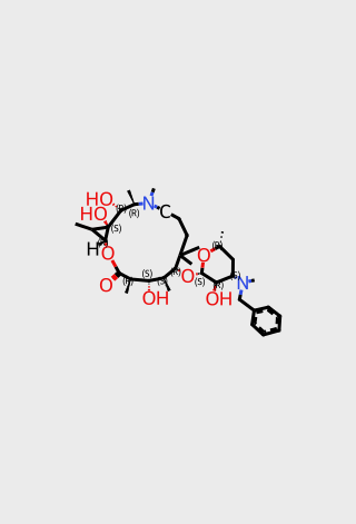 CC1[C@H]2OC(=O)[C@H](C)[C@@H](O)[C@H](C)[C@@H](O[C@@H]3O[C@H](C)C[C@H](N(C)Cc4ccccc4)[C@H]3O)C(C)(C)CCCN(C)[C@H](C)[C@@H](O)[C@@]12O